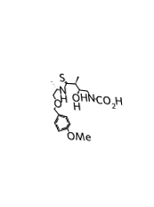 COc1ccc(COC[C@H](C)NC(=S)[C@@H](C)[C@H](O)CNC(=O)O)cc1